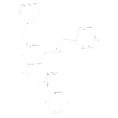 O=C1CN(Cc2ccccc2)CC(NCc2ccncc2)=C1C(=S)Nc1ccccc1